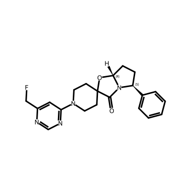 O=C1N2[C@@H](CC[C@H]2c2ccccc2)OC12CCN(c1cc(CF)ncn1)CC2